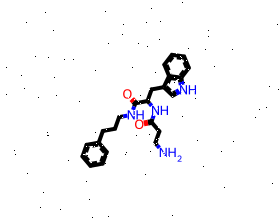 NCCC(=O)NC(Cc1c[nH]c2ccccc12)C(=O)NCCCc1ccccc1